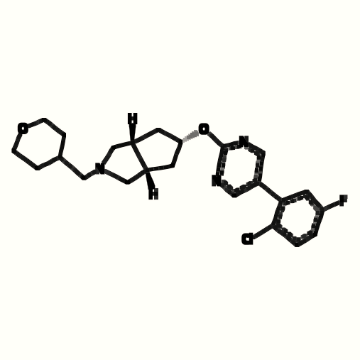 Fc1ccc(Cl)c(-c2cnc(O[C@@H]3C[C@@H]4CN(CC5CCOCC5)C[C@@H]4C3)nc2)c1